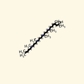 CC(C)=CCC/C(C)=C/CC/C(C)=C/CC/C=C(\C)CC/C=C(\C)CCC=C(C)CC(C)O